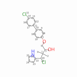 CC(C)(C(O)COc1ccc(-c2ccc(Cl)cc2)cc1)C(Cl)c1ccc[nH]1